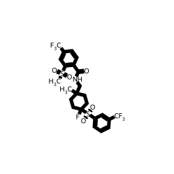 CC1(CNC(=O)c2ccc(C(F)(F)F)cc2S(C)(=O)=O)CCC(F)(S(=O)(=O)c2cccc(C(F)(F)F)c2)CC1